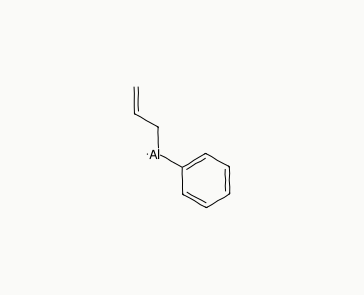 C=C[CH2][Al][c]1ccccc1